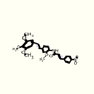 COc1cc(/C=C/c2cc(OC)c(OC)c(OC)c2)ccc1NC(=O)/C=C/c1ccc([N+](=O)[O-])cc1